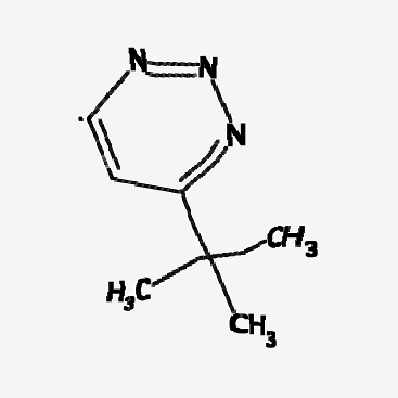 CC(C)(C)c1c[c]nnn1